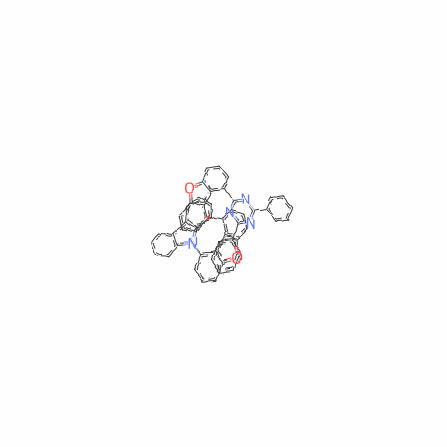 c1ccc(-c2nc(-c3ccccc3)nc(-c3cccc4oc5cccc(-c6cccc7oc8cccc(-n9c%10ccccc%10c%10ccccc%109)c8c67)c5c34)n2)cc1